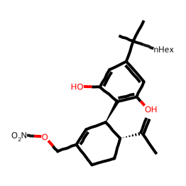 C=C(C)[C@@H]1CCC(CO[N+](=O)[O-])=C[C@H]1c1c(O)cc(C(C)(C)CCCCCC)cc1O